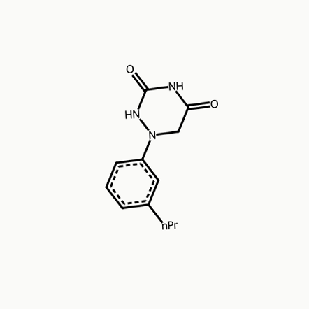 CCCc1cccc(N2CC(=O)NC(=O)N2)c1